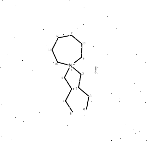 CCCC[N+]1(CCCC)CCCCCC1.[I-]